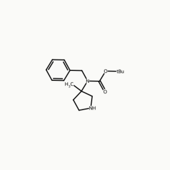 CC(C)(C)OC(=O)N(Cc1ccccc1)C1(C)CCNC1